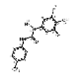 O=C(Nc1ccc(C(F)(F)F)cc1)N(S)c1cc(F)c(O)c(F)c1